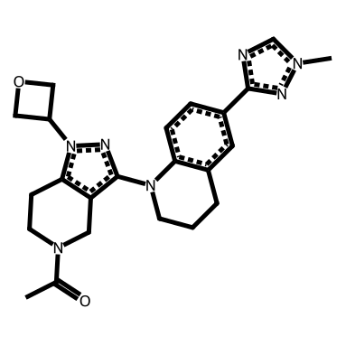 CC(=O)N1CCc2c(c(N3CCCc4cc(-c5ncn(C)n5)ccc43)nn2C2COC2)C1